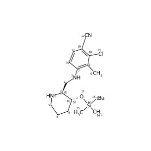 Cc1c(NC[C@@H]2NCCC[C@H]2O[Si](C)(C)C(C)(C)C)ccc(C#N)c1Cl